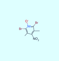 Cc1c([N+](=O)[O-])c(C)c(Br)[n+]([O-])c1Br